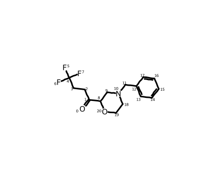 O=C(CCC(F)(F)F)C1CN(Cc2ccccc2)CCO1